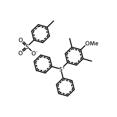 COc1c(C)cc([S+](c2ccccc2)c2ccccc2)cc1C.Cc1ccc(S(=O)(=O)[O-])cc1